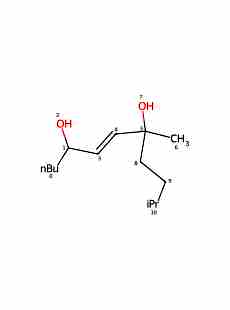 CCCCC(O)C=CC(C)(O)CCC(C)C